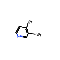 CCCc1cnccc1C(C)C